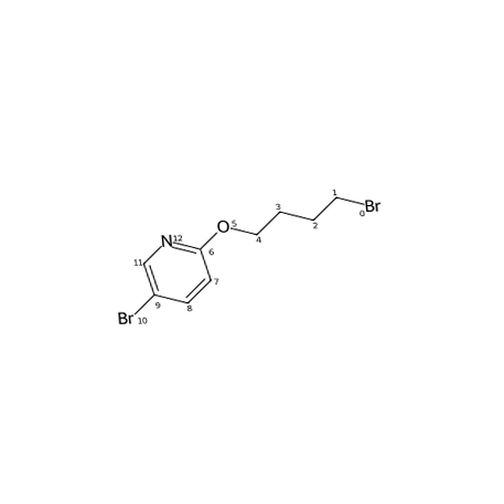 BrCCCCOc1ccc(Br)cn1